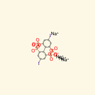 O=S(=O)([O-])c1cc(I)cc(S(=O)(=O)[O-])c1-c1c(S(=O)(=O)[O-])cc(I)cc1S(=O)(=O)[O-].[Na+].[Na+].[Na+].[Na+]